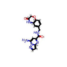 Nc1cc(C(=O)NCc2ccc3c(c2)NC(=O)CO3)nc2ccnn12